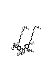 CCCCCCCCNc1ccc(Nc2cc(NCCCCCCCC)c([N+](=O)[O-])cc2[N+](=O)[O-])c(N)c1